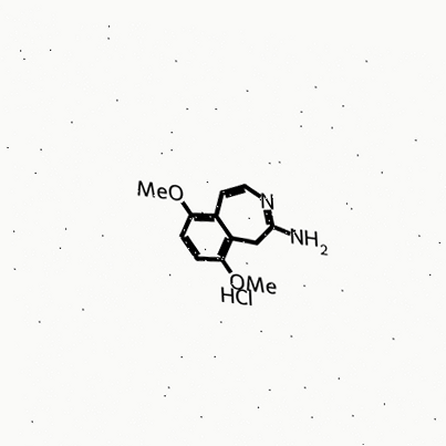 COc1ccc(OC)c2c1C=CN=C(N)C2.Cl